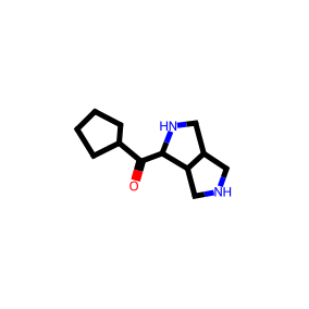 O=C(C1CCCC1)C1NCC2CNCC21